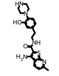 Cc1ccc2c(N)c(C(=O)NCCc3ccc(N4CCNCC4)c(O)c3)sc2n1